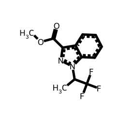 COC(=O)c1nn(C(C)C(F)(F)F)c2ccccc12